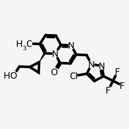 Cc1ccc2nc(Cn3nc(C(F)(F)F)cc3Cl)cc(=O)n2c1[C@H]1CC1CO